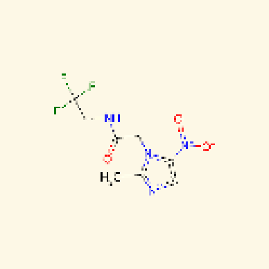 Cc1ncc([N+](=O)[O-])n1CC(=O)NCC(F)(F)F